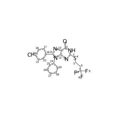 O=c1[nH]c(SCCC(F)(F)F)nc2c1nc(-c1ccc(Cl)cc1)n2-c1ccccc1